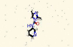 Cc1cn(C(=O)Nc2cccnc2)c(C)n1